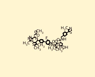 COC(=O)C[C@@H]1N=C(c2ccc(-c3ccc(C(=O)N[C@H](C(=O)N4C[C@H](O)C[C@H]4C(=O)NCc4ccc(-c5scnc5C)cc4)C(C)(C)C)cc3F)cc2)c2c(sc(C)c2C)-n2c(C)nnc21